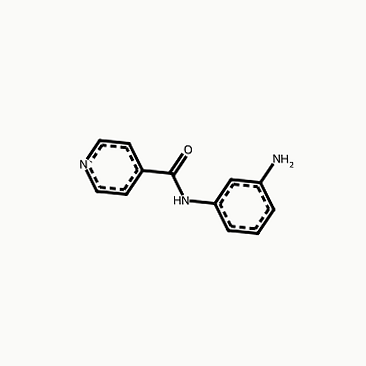 Nc1cccc(NC(=O)c2ccncc2)c1